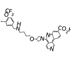 O=C(O)c1ccc2c(c1)nc(N1CC(OCCCCNCc3ccc(OC(F)(F)F)c(C4CC4)c3)C1)c1ccncc12